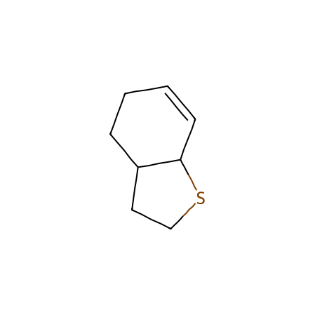 C1=CC2SCCC2CC1